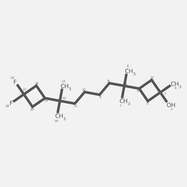 CC1(O)CC(C(C)(C)CCCCC(C)(C)C2CC(F)(F)C2)C1